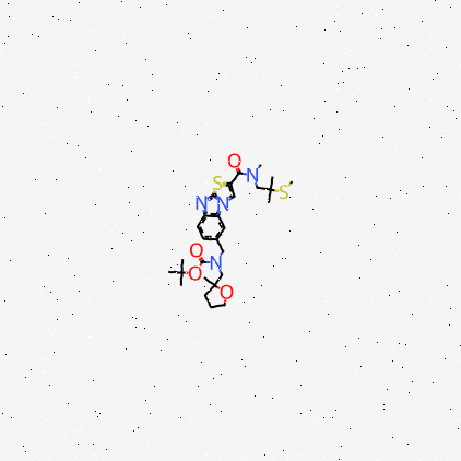 CSC(C)(C)CN(C)C(=O)c1cn2c(nc3ccc(CN(CC4(C)CCCO4)C(=O)OC(C)(C)C)cc32)s1